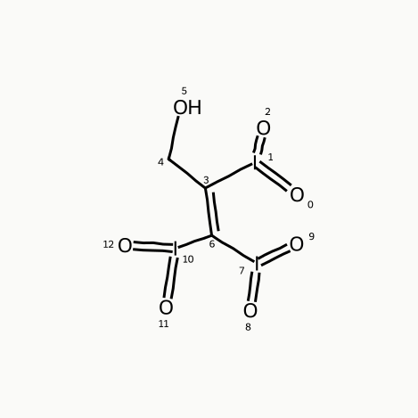 O=I(=O)C(CO)=C(I(=O)=O)I(=O)=O